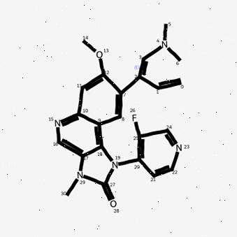 C=C/C(=C\N(C)C)c1cc2c(cc1OC)ncc1c2n(-c2ccncc2F)c(=O)n1C